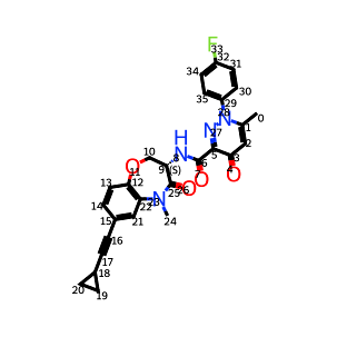 Cc1cc(=O)c(C(=O)N[C@H]2COc3ccc(C#CC4CC4)cc3N(C)C2=O)nn1-c1ccc(F)cc1